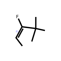 C/C=C(/F)C(C)(C)C